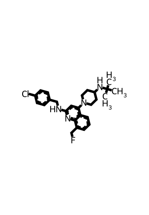 CC(C)(C)NC1CCN(c2cc(NCc3ccc(Cl)cc3)nc3c(CF)cccc23)CC1